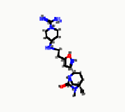 CN1C(=O)N2C[C@H]1CC[C@H]2c1cc(CCNC2CCN(C(=N)N)CC2)on1